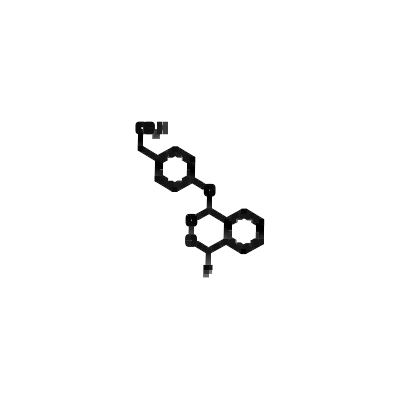 O=C(O)Cc1ccc(OC2OOC(F)c3ccccc32)cc1